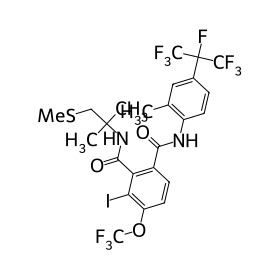 CSCC(C)(C)NC(=O)c1c(C(=O)Nc2ccc(C(F)(C(F)(F)F)C(F)(F)F)cc2C)ccc(OC(F)(F)F)c1I